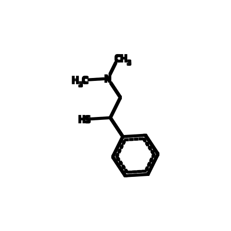 CN(C)CC(S)c1ccccc1